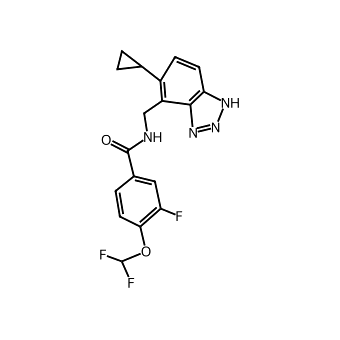 O=C(NCc1c(C2CC2)ccc2[nH]nnc12)c1ccc(OC(F)F)c(F)c1